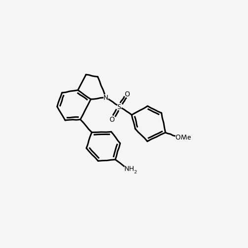 COc1ccc(S(=O)(=O)N2CCc3cccc(-c4ccc(N)cc4)c32)cc1